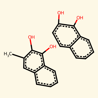 Cc1cc2ccccc2c(O)c1O.Oc1ccc2ccccc2c1O